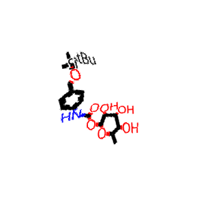 CC1OC(OC(=O)Nc2ccc(CO[Si](C)(C)C(C)(C)C)cc2)C(O)C(O)C1O